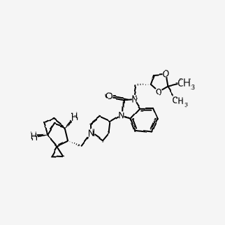 CC1(C)OC[C@@H](Cn2c(=O)n(C3CCN(C[C@H]4[C@H]5CC[C@H](C5)C45CC5)CC3)c3ccccc32)O1